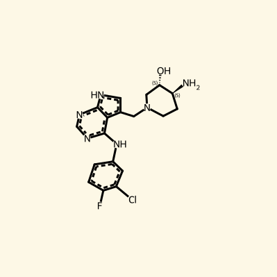 N[C@H]1CCN(Cc2c[nH]c3ncnc(Nc4ccc(F)c(Cl)c4)c23)C[C@@H]1O